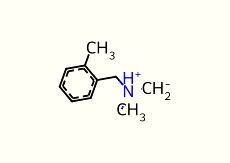 [CH2-][NH+](C)Cc1ccccc1C